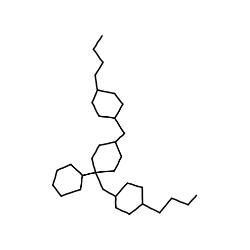 CCCCC1CCC(CC2CCC(CC3CCC(CCCC)CC3)(C3CCCCC3)CC2)CC1